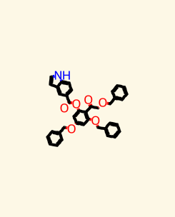 O=C(Oc1cc(OCc2ccccc2)cc(OCc2ccccc2)c1C(=O)COCc1ccccc1)c1ccc2[nH]ccc2c1